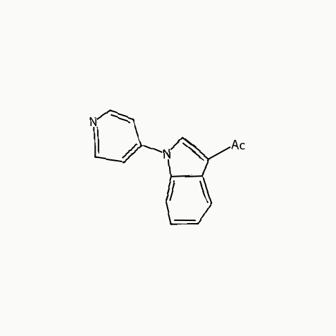 CC(=O)c1cn(-c2ccncc2)c2ccccc12